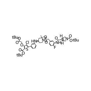 CC(C)(C)OC(=O)COc1c(C(=O)OC(C)(C)C)sc(-c2cccc(N[C@@H]3CCN(S(=O)(=O)Cc4ccc(F)c(NC(=O)C5[C@H]6CN(C(=O)OC(C)(C)C)C[C@@H]56)c4)C(C)(C)C3)c2)c1Cl